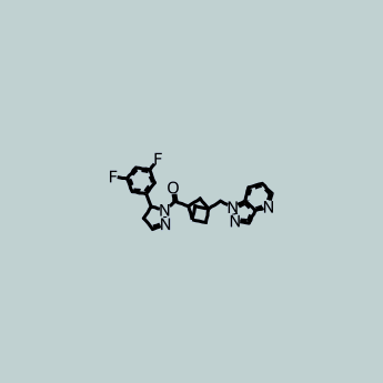 O=C(C1CC2(Cn3ncc4ncccc43)CC1C2)N1N=CCC1c1cc(F)cc(F)c1